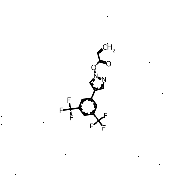 C=CC(=O)On1cc(-c2cc(C(F)(F)F)cc(C(F)(F)F)c2)cn1